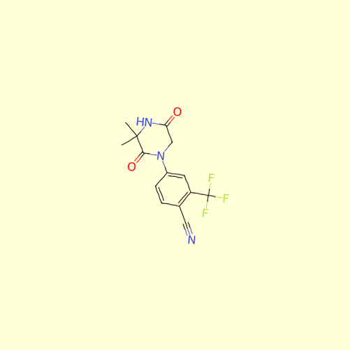 CC1(C)NC(=O)CN(c2ccc(C#N)c(C(F)(F)F)c2)C1=O